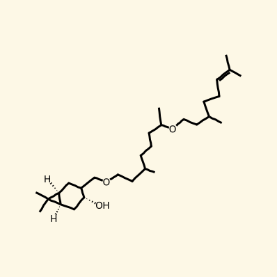 CC(C)=CCCC(C)CCOC(C)CCCC(C)CCOCC1C[C@H]2[C@@H](C[C@H]1O)C2(C)C